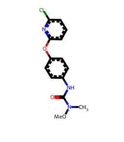 CON(C)C(=O)Nc1ccc(Oc2cccc(Cl)n2)cc1